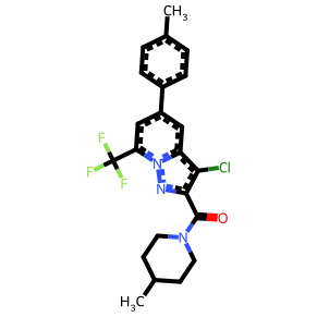 Cc1ccc(-c2cc(C(F)(F)F)n3nc(C(=O)N4CCC(C)CC4)c(Cl)c3c2)cc1